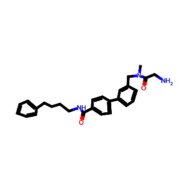 CN(Cc1cccc(-c2ccc(C(=O)NCCCCc3ccccc3)cc2)c1)C(=O)CN